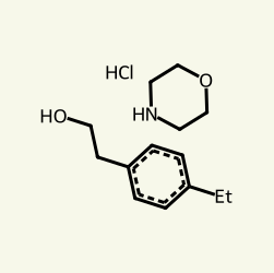 C1COCCN1.CCc1ccc(CCO)cc1.Cl